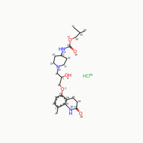 Cc1ccc(OCC(O)CN2CCC(NC(=O)OCC(C)C)CC2)c2c1NC(=O)CC2.Cl